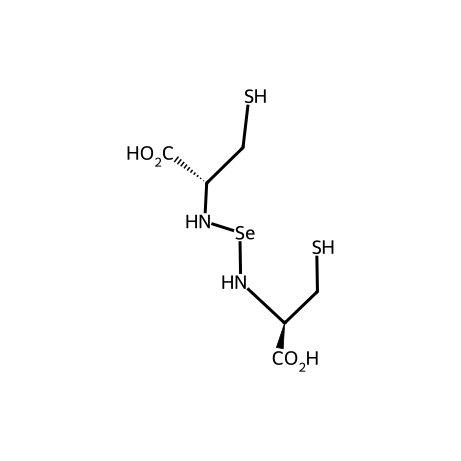 O=C(O)[C@H](CS)N[Se]N[C@@H](CS)C(=O)O